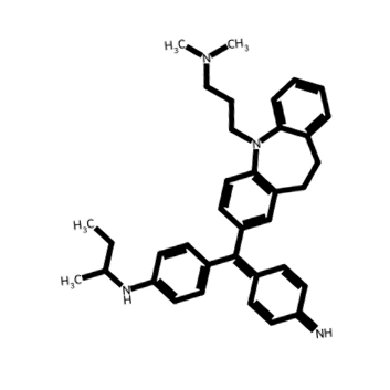 CCC(C)Nc1ccc(C(=C2C=CC(=N)C=C2)c2ccc3c(c2)CCc2ccccc2N3CCCN(C)C)cc1